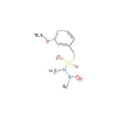 CCOc1cccc(CS(=O)(=O)N(C)N(O)C(C)=O)c1